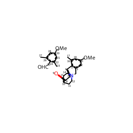 COc1cc(C)c(C=C2C(=O)C3CCN2CC3)c(C)c1.COc1cc(C)c(C=O)c(C)c1